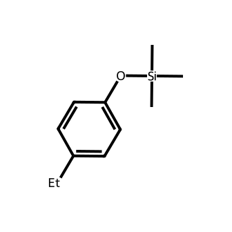 [CH2]Cc1ccc(O[Si](C)(C)C)cc1